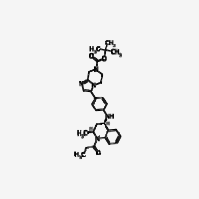 CCC(=O)N1c2ccccc2[C@H](Nc2ccc(-c3cnc4n3CCN(C(=O)OC(C)(C)C)C4)cc2)C[C@@H]1C